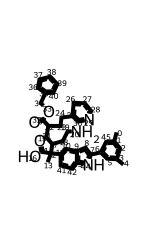 Cc1cc(C)cc(-c2cc3cc(C(C)(C(=O)O)C(CCN)CC(CCc4cccnc4)C(=O)OCc4ccccc4)ccc3[nH]2)c1